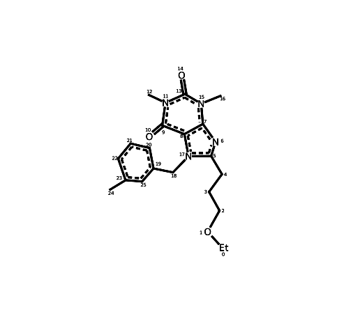 CCOCCCc1nc2c(c(=O)n(C)c(=O)n2C)n1Cc1cccc(C)c1